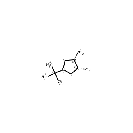 CC(C)(C)N1C[C@@H](F)[C@@H](N)C1